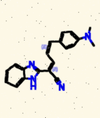 CN(C)c1ccc(/C=C\C=C(\C#N)c2nc3ccccc3[nH]2)cc1